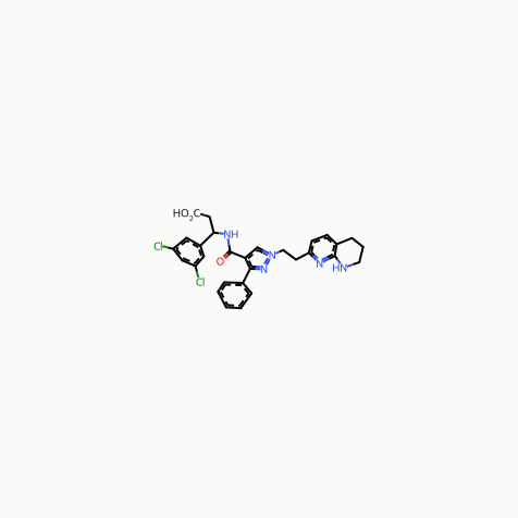 O=C(O)CC(NC(=O)c1cn(CCc2ccc3c(n2)NCCC3)nc1-c1ccccc1)c1cc(Cl)cc(Cl)c1